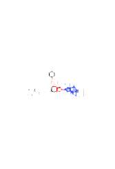 COc1cc(OCc2ccccc2)c2cc(-c3cn4nc(C)ncc4n3)oc2c1